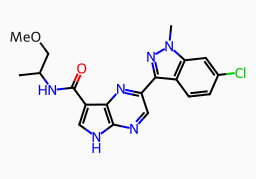 COCC(C)NC(=O)c1c[nH]c2ncc(-c3nn(C)c4cc(Cl)ccc34)nc12